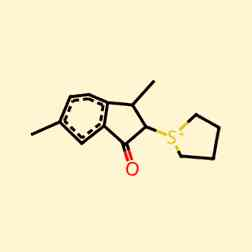 Cc1ccc2c(c1)C(=O)C([S+]1CCCC1)C2C